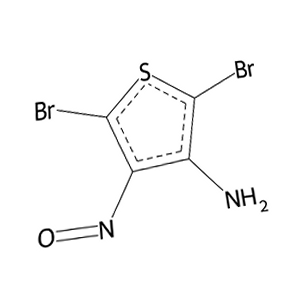 Nc1c(Br)sc(Br)c1N=O